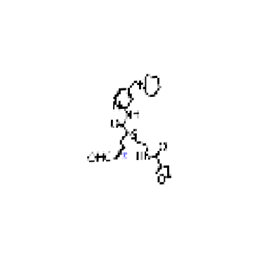 O=C/C=C\CC(SCCNC(=O)c1ccoc1)C(=O)Nc1cc(CN2CCCCC2)ccn1